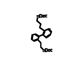 CCCCCCCCCCCCCc1[c]cccc1-c1ccccc1CCCCCCCCCCCC